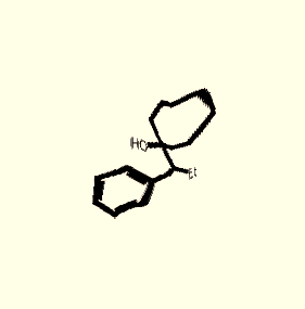 [CH2]CC(c1ccccc1)C1(O)CCCCC1